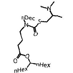 CCCCCCCCCCN(CCCC(=O)OC(CCCCCC)CCCCCC)C(=O)SCC(C)N(C)C